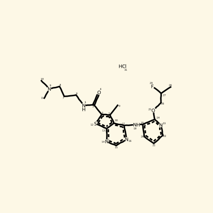 Cc1c(C(=O)NCCCN(C)C)sc2ncnc(Nc3cccnc3OCC(C)F)c12.Cl